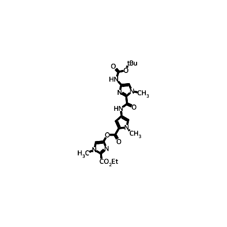 CCOC(=O)c1nc(OC(=O)c2cc(NC(=O)c3nc(NC(=O)OC(C)(C)C)cn3C)cn2C)cn1C